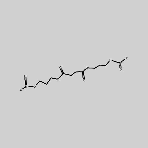 O=C(CCC(=O)OCCCO[N+](=O)[O-])OCCCO[N+](=O)[O-]